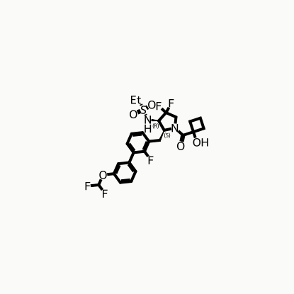 CCS(=O)(=O)N[C@@H]1[C@H](Cc2cccc(-c3cccc(OC(F)F)c3)c2F)N(C(=O)C2(O)CCC2)CC1(F)F